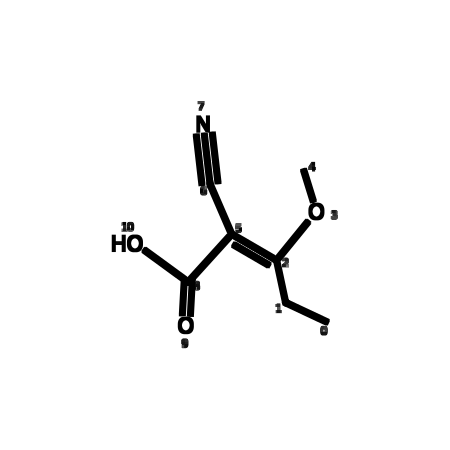 CCC(OC)=C(C#N)C(=O)O